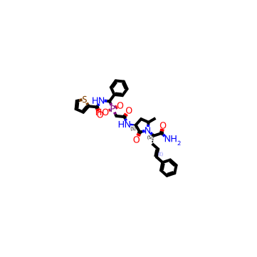 CC1C[C@H](NC(=O)CP(=O)(O)C(NC(=O)c2cccs2)c2ccccc2)C(=O)N1[C@@H](C/C=C/c1ccccc1)C(N)=O